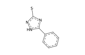 [S]c1n[nH]c(-c2ccccc2)n1